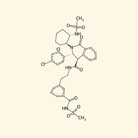 CS(=O)(=O)NC(=O)c1cccc(CCNC(=O)[C@@H]2c3ccccc3C(=O)N([C@H]3CCCC[C@@H]3NS(C)(=O)=O)[C@H]2c2ccc(Cl)cc2Cl)c1